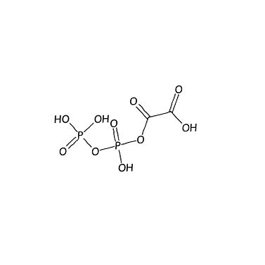 O=C(O)C(=O)OP(=O)(O)OP(=O)(O)O